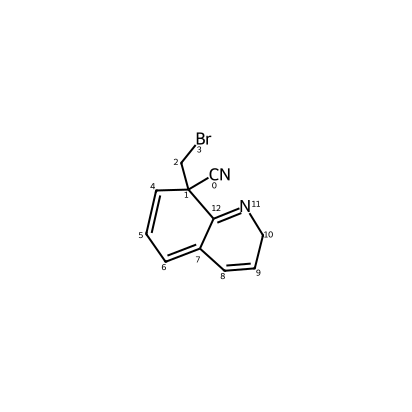 N#CC1(CBr)C=CC=C2C=CCN=C21